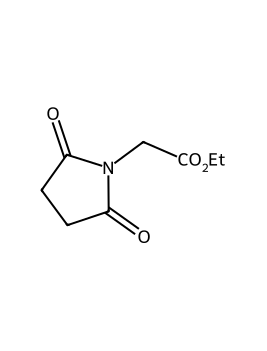 CCOC(=O)CN1C(=O)CCC1=O